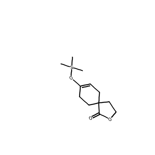 C[Si](C)(C)OC1=CCC2(CCOC2=O)CC1